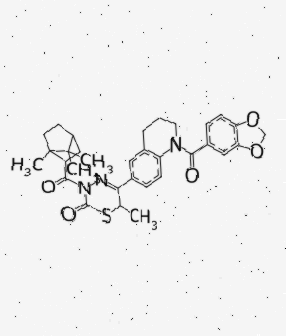 CC1SC(=O)N(C(=O)C2CC3CCC2(C)C3(C)C)N=C1c1ccc2c(c1)CCCN2C(=O)c1ccc2c(c1)OCO2